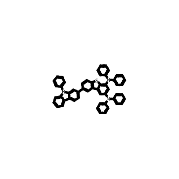 c1ccc(N(c2ccccc2)c2cc(N(c3ccccc3)c3ccccc3)c3sc4ccc(-c5ccc6c7ccccc7n(-c7ccccc7)c6c5)cc4c3c2)cc1